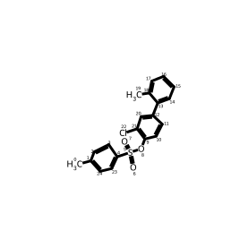 Cc1ccc(S(=O)(=O)Oc2ccc(-c3ccccc3C)cc2Cl)cc1